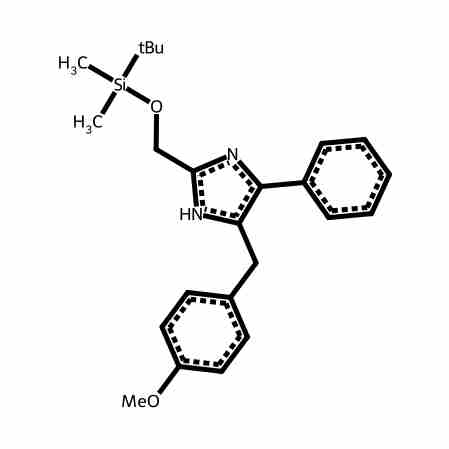 COc1ccc(Cc2[nH]c(CO[Si](C)(C)C(C)(C)C)nc2-c2ccccc2)cc1